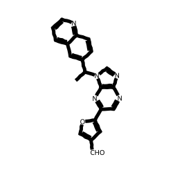 CC(c1ccc2ncccc2c1)n1cnc2ncc(-c3cc(C=O)co3)nc21